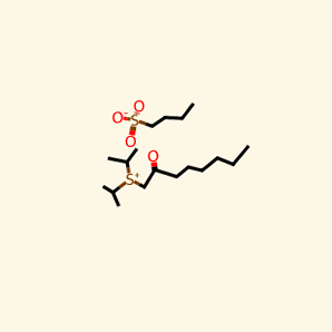 CCCCCCC(=O)C[S+](C(C)C)C(C)C.CCCCS(=O)(=O)[O-]